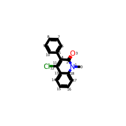 Cn1c(=O)c(-c2ccccc2)c(Cl)c2ccccc21